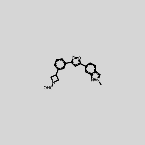 Cn1cc2ccc(-c3cc(-c4cccc(C5CN(C=O)C5)c4)no3)cc2n1